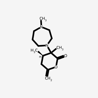 C=C1C[C@@H](C)C(C)(N2CCCN(C)CC2)C(=O)O1